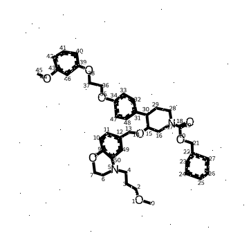 COCCCN1CCOc2ccc(COC3CN(C(=O)OCc4ccccc4)CCC3c3ccc(OCCOc4cccc(OC)c4)cc3)cc21